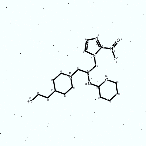 O=[N+]([O-])c1nccn1CC(CN1CCC(CCO)CC1)OC1CCCCO1